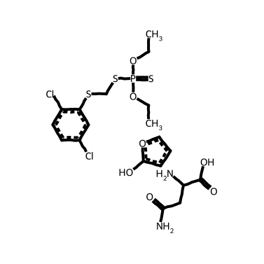 CCOP(=S)(OCC)SCSc1cc(Cl)ccc1Cl.NC(=O)CC(N)C(=O)O.Oc1ccco1